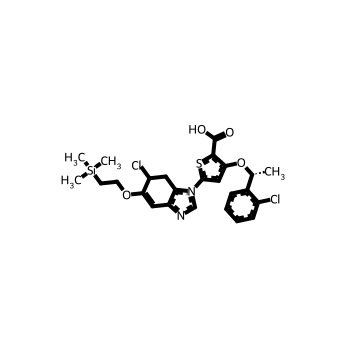 C[C@@H](Oc1cc(-n2cnc3c2CC(Cl)C(OCC[Si](C)(C)C)=C3)sc1C(=O)O)c1ccccc1Cl